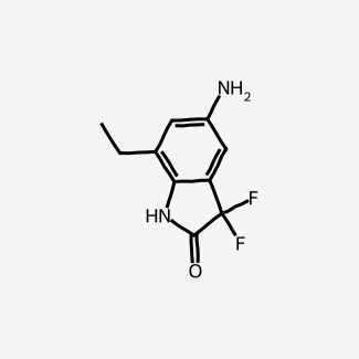 CCc1cc(N)cc2c1NC(=O)C2(F)F